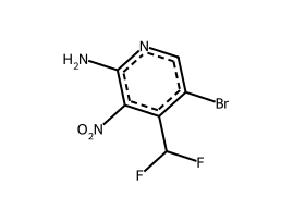 Nc1ncc(Br)c(C(F)F)c1[N+](=O)[O-]